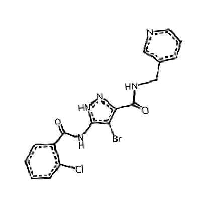 O=C(Nc1[nH]nc(C(=O)NCc2cccnc2)c1Br)c1ccccc1Cl